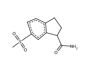 CS(=O)(=O)c1ccc2c(c1)C(C(N)=O)CC2